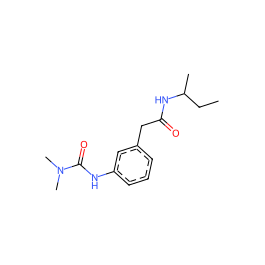 CCC(C)NC(=O)Cc1cccc(NC(=O)N(C)C)c1